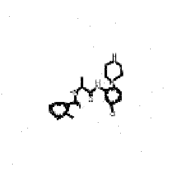 Cc1ccccc1C(=O)NC(C)C(=O)Nc1cc(Cl)ccc1N1CCNCC1